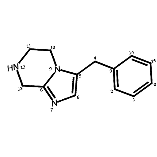 c1ccc(Cc2cnc3n2CCNC3)cc1